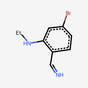 CCNc1cc(Br)ccc1C=N